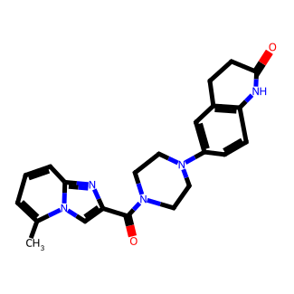 Cc1cccc2nc(C(=O)N3CCN(c4ccc5c(c4)CCC(=O)N5)CC3)cn12